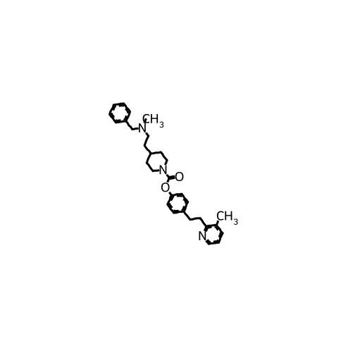 Cc1cccnc1CCc1ccc(OC(=O)N2CCC(CCN(C)Cc3ccccc3)CC2)cc1